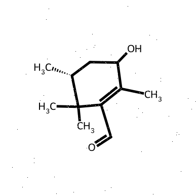 CC1=C(C=O)C(C)(C)[C@H](C)CC1O